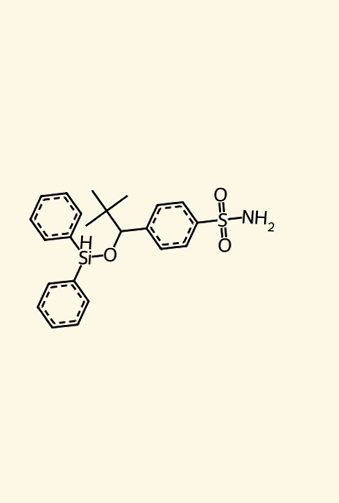 CC(C)(C)C(O[SiH](c1ccccc1)c1ccccc1)c1ccc(S(N)(=O)=O)cc1